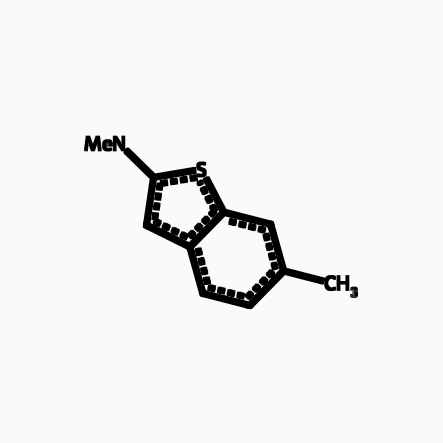 CNc1cc2ccc(C)cc2s1